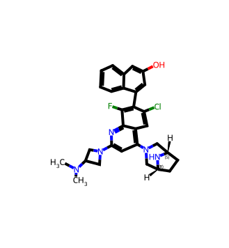 CN(C)C1CN(c2cc(N3C[C@H]4CC[C@@H](C3)N4)c3cc(Cl)c(-c4cc(O)cc5ccccc45)c(F)c3n2)C1